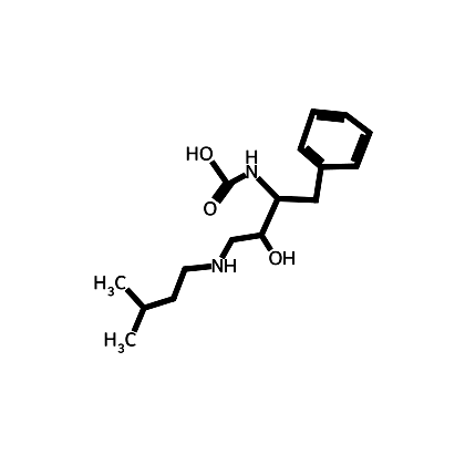 CC(C)CCNCC(O)C(Cc1ccccc1)NC(=O)O